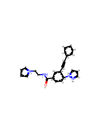 O=C(NCCn1cccc1)c1ccc(-n2cccn2)c(C#Cc2ccccc2)c1